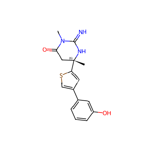 CN1C(=N)N[C@](C)(c2cc(-c3cccc(O)c3)cs2)CC1=O